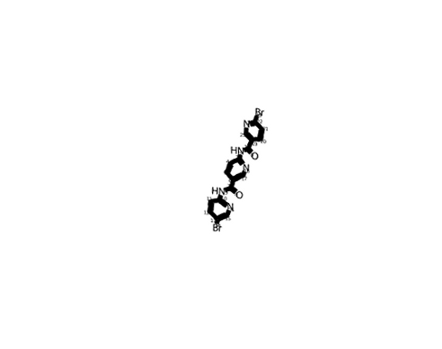 O=C(Nc1ccc(C(=O)Nc2ccc(Br)cn2)cn1)c1ccc(Br)nc1